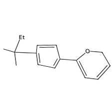 CCC(C)(C)c1ccc(C2=CC=CCO2)cc1